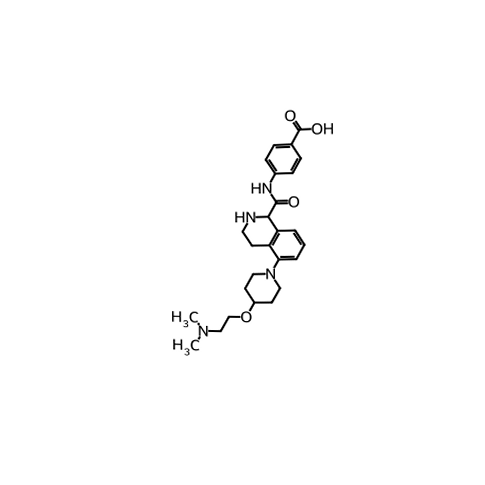 CN(C)CCOC1CCN(c2cccc3c2CCNC3C(=O)Nc2ccc(C(=O)O)cc2)CC1